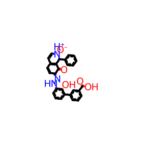 O=C1C(=NNc2cccc(-c3cccc(C(=O)O)c3)c2O)C=CC2=C1C(c1ccccc1)[NH+]([O-])C=C2